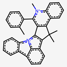 Cc1ccccc1-c1c2c(c3ccccc3[n+]1C)C(C)(C)c1c-2n2c3ccccc3c3cccc1c32